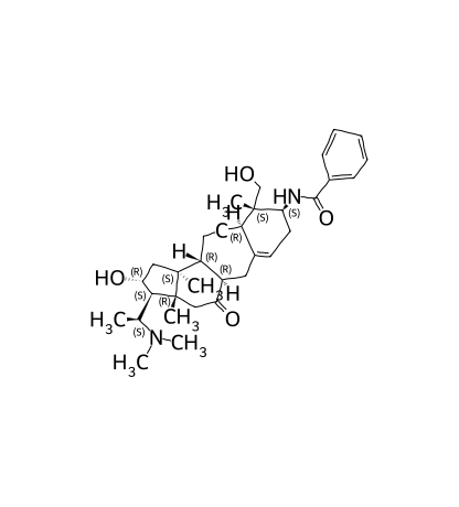 C[C@@H]([C@H]1[C@H](O)C[C@@]2(C)[C@@H]3CC[C@@H]4C(=CC[C@H](NC(=O)c5ccccc5)[C@@]4(C)CO)C[C@H]3C(=O)C[C@]12C)N(C)C